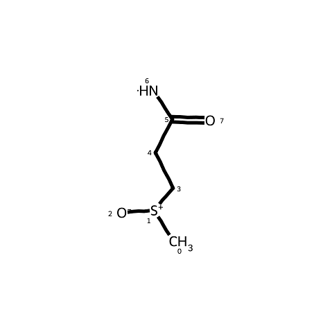 C[S+]([O-])CCC([NH])=O